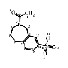 CC(=O)N1CCCc2ccc(S(=O)(=O)Cl)cc2C1